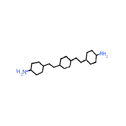 NC1CCC(CCC2CCC(CCC3CCC(N)CC3)CC2)CC1